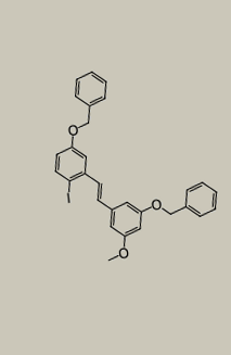 COc1cc(C=Cc2cc(OCc3ccccc3)ccc2I)cc(OCc2ccccc2)c1